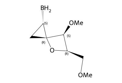 B[C@H]1C[C@@]12O[C@H](COC)[C@@H]2OC